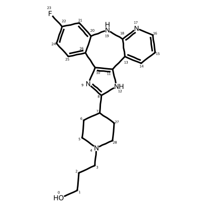 OCCCN1CCC(c2nc3c([nH]2)-c2cccnc2Nc2cc(F)ccc2-3)CC1